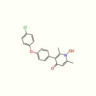 Cc1cc(=O)c(-c2ccc(Oc3ccc(Cl)cc3)cc2)c(C)n1O